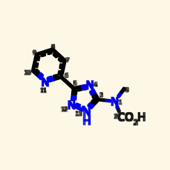 CN(C(=O)O)c1nc(-c2ccccn2)n[nH]1